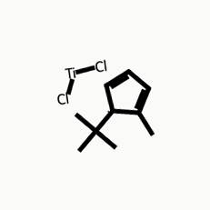 CC1=CC=C[C]1C(C)(C)C.[Cl][Ti][Cl]